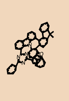 CC1(C)c2ccccc2-c2c1ccc1c2-c2cccc3c4cccc(-c5nc(-c6ccccc6)nc(-c6ccccc6)n5)c4n(c23)-c2ccc3c(oc4ccccc43)c2-1